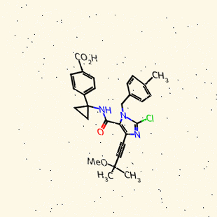 COC(C)(C)C#Cc1nc(Cl)n(Cc2ccc(C)cc2)c1C(=O)NC1(c2ccc(C(=O)O)cc2)CC1